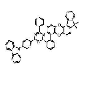 CC1(C)c2ccccc2-c2c1ccc1c2Oc2cccc(-c3ccccc3-c3nc(-c4ccccc4)nc(-c4ccc(-n5c6ccccc6c6ccccc65)cc4)n3)c2O1